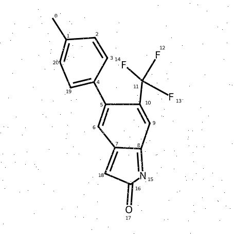 Cc1ccc(-c2cc3c(cc2C(F)(F)F)=NC(=O)C=3)cc1